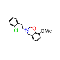 COc1cccc2c1OCN(CCc1ccccc1Cl)C2